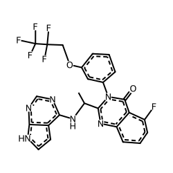 CC(Nc1ncnc2[nH]ccc12)c1nc2cccc(F)c2c(=O)n1-c1cccc(OCC(F)(F)C(F)(F)F)c1